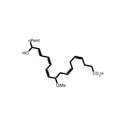 CCCCCC(O)/C=C/C=C\C=C/C(C/C=C\C/C=C\CCC(=O)O)OC